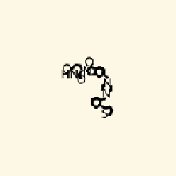 O=C1CCC(N2Cc3cc(CN4CCN(Cc5ccccc5-c5cccs5)CC4)ccc3C2=O)C(=O)N1